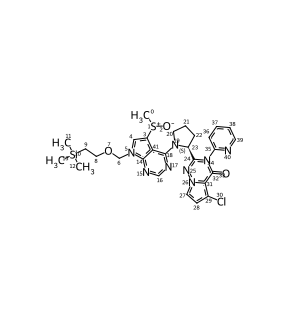 C[S+]([O-])c1cn(COCC[Si](C)(C)C)c2ncnc(N3CCC[C@H]3c3nn4ccc(Cl)c4c(=O)n3-c3ccccn3)c12